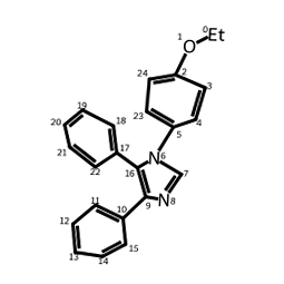 CCOc1ccc(-n2cnc(-c3ccccc3)c2-c2ccccc2)cc1